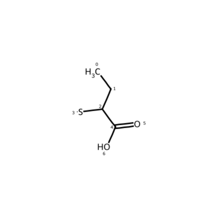 CCC([S])C(=O)O